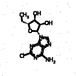 CC[C@H]1O[C@@H](n2cnc3c(N)nc(Cl)nc32)[C@H](O)[C@@H]1O